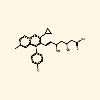 Cc1ccc2nc(C3CC3)c(/C=C/C(O)CC(O)CC(=O)O)c(-c3ccc(Cl)cc3)c2c1